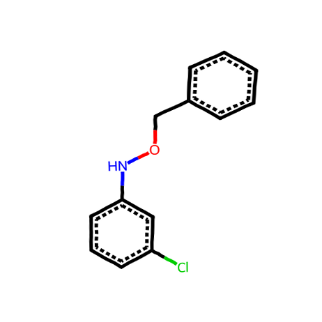 Clc1cccc(NOCc2ccccc2)c1